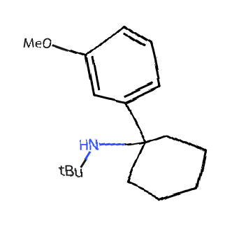 COc1cccc(C2(NC(C)(C)C)CCCCC2)c1